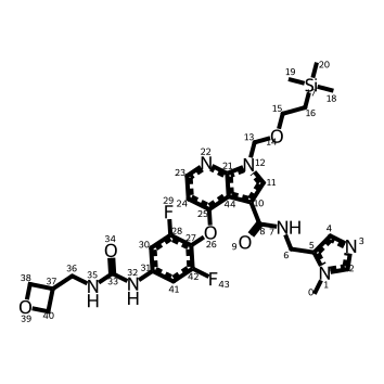 Cn1cncc1CNC(=O)c1cn(COCC[Si](C)(C)C)c2nccc(Oc3c(F)cc(NC(=O)NCC4COC4)cc3F)c12